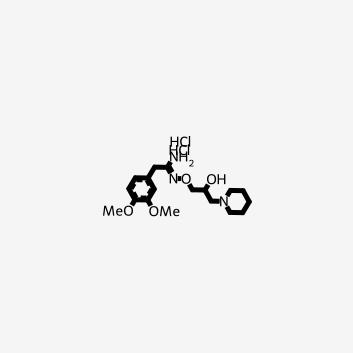 COc1ccc(CC(N)=NOCC(O)CN2CCCCC2)cc1OC.Cl.Cl